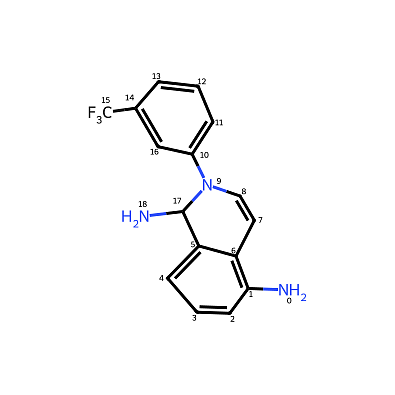 Nc1cccc2c1C=CN(c1cccc(C(F)(F)F)c1)C2N